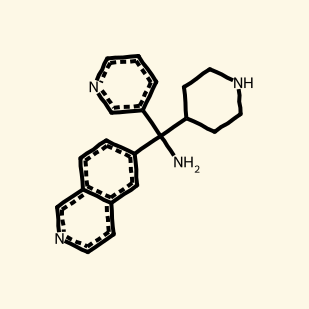 NC(c1cccnc1)(c1ccc2cnccc2c1)C1CCNCC1